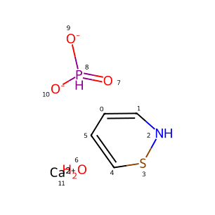 C1=CNSC=C1.O.O=[PH]([O-])[O-].[Ca+2]